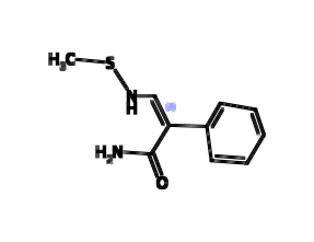 CSN/C=C(\C(N)=O)c1ccccc1